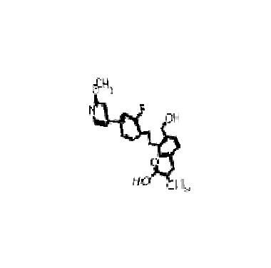 COc1cc(-c2ccc(CCc3cc(CC(C)C(=O)O)ccc3CO)c(F)c2)ccn1